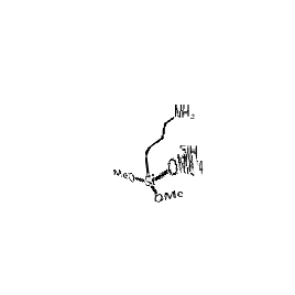 CO[Si](CCCN)(OC)OC.[SiH4]